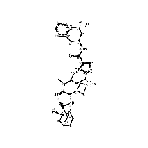 CC(=O)O[C@H](C[C@H](C(C)C)N(C)C(=O)[C@@H](NC(=O)[C@H]1CC2CCN1CC2)C1CSC1)c1nc(C(=O)N[C@@H](Cc2ncccn2)C[C@H](C)C(=O)O)cs1